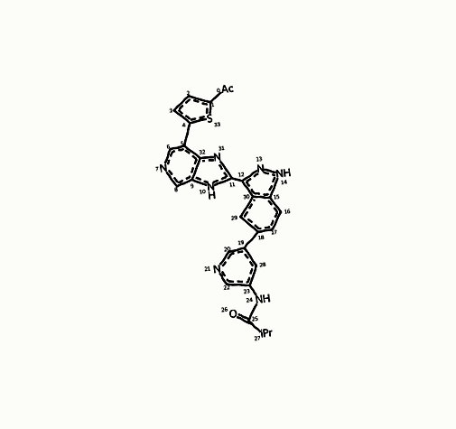 CC(=O)c1ccc(-c2cncc3[nH]c(-c4n[nH]c5ccc(-c6cncc(NC(=O)C(C)C)c6)cc45)nc23)s1